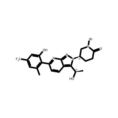 Cc1cc(C(F)(F)F)cc(O)c1-c1ccc2c([C@@H](C)O)n([C@@H]3CCC(=O)N(C(C)C)C3)nc2n1